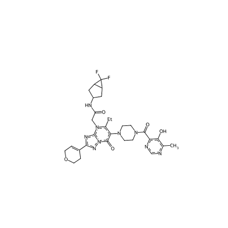 CCc1c(N2CCN(C(=O)c3ncnc(C)c3O)CC2)c(=O)n2nc(C3=CCOCC3)nc2n1CC(=O)NC1CC2C(C1)C2(F)F